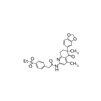 CCS(=O)(=O)c1ccc(CC(=O)Nc2cc(C)c3c(n2)CCC(C)(c2ccc4c(c2)OCO4)C3=O)cc1